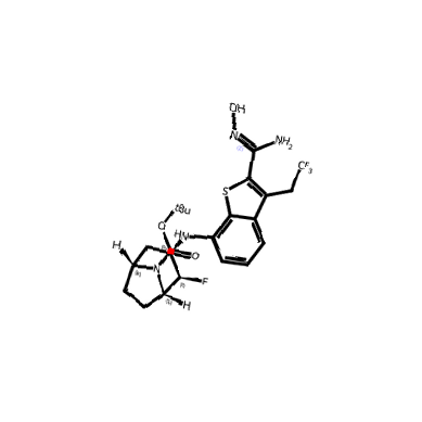 CC(C)(C)OC(=O)N1[C@@H]2CC[C@H]1[C@H](F)[C@H](Nc1cccc3c(CC(F)(F)F)c(/C(N)=N/O)sc13)C2